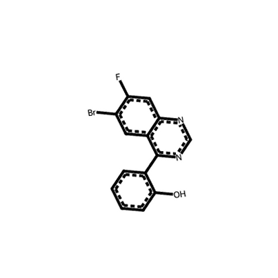 Oc1ccccc1-c1ncnc2cc(F)c(Br)cc12